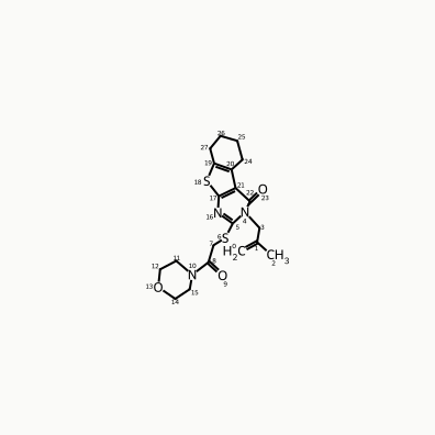 C=C(C)Cn1c(SCC(=O)N2CCOCC2)nc2sc3c(c2c1=O)CCCC3